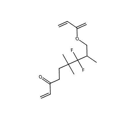 C=CC(=C)OCC(C)C(F)(F)C(C)(C)CCC(=O)C=C